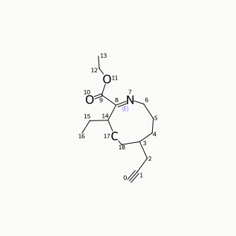 C#CCC1CCC/N=C(/C(=O)OCC)C(CC)CC1